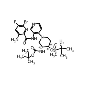 CC(C)(C)OC(=O)N[C@@H]1CN(c2ccncc2NC(=O)c2nc(Br)c(F)cc2N)CC[C@H]1O[Si](C)(C)C(C)(C)C